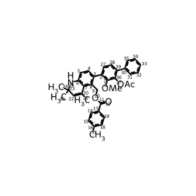 COc1c(-c2ccc3c(c2COC(=O)c2ccc(C)cc2)C(C)=CC(C)(C)N3)ccc(-c2ccccc2)c1OC(C)=O